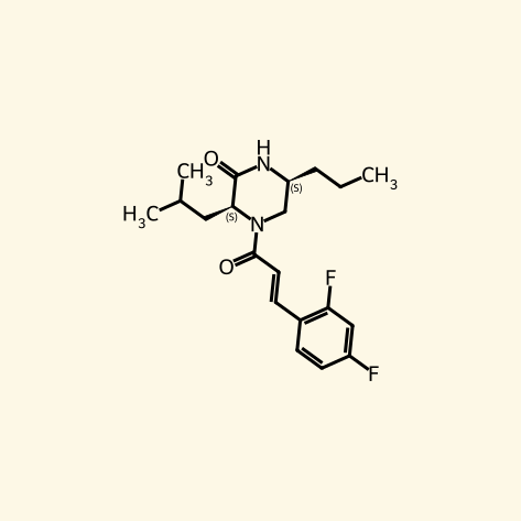 CCC[C@H]1CN(C(=O)C=Cc2ccc(F)cc2F)[C@@H](CC(C)C)C(=O)N1